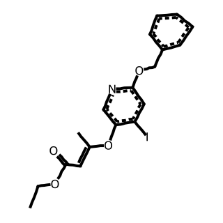 CCOC(=O)/C=C(\C)Oc1cnc(OCc2ccccc2)cc1I